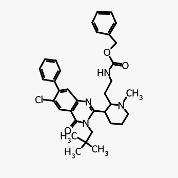 CN1CCCC(c2nc3cc(-c4ccccc4)c(Cl)cc3c(=O)n2CC(C)(C)C)C1CCNC(=O)OCc1ccccc1